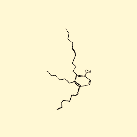 CCCCCCCCCc1c(O)ccc(CCCCCC)c1CCCCCC